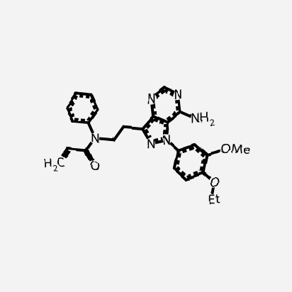 C=CC(=O)N(CCc1nn(-c2ccc(OCC)c(OC)c2)c2c(N)ncnc12)c1ccccc1